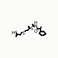 C=C(S)CCSCCC(=C)SC(=C)NC(=O)C(C)c1ccccc1